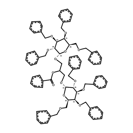 O=C(OC(CO[C@H]1O[C@H](COCc2ccccc2)[C@H](OCc2ccccc2)[C@H](OCc2ccccc2)[C@H]1OCc1ccccc1)CO[C@H]1O[C@H](COCc2ccccc2)[C@H](OCc2ccccc2)[C@H](OCc2ccccc2)[C@H]1OCc1ccccc1)c1ccccc1